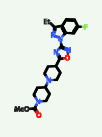 CCc1nn(-c2noc(C3CCN(C4CCN(C(=O)OC)CC4)CC3)n2)c2cc(F)ccc12